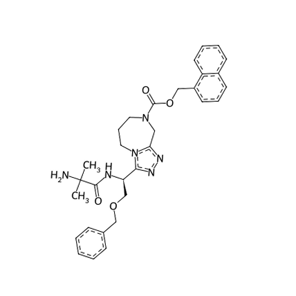 CC(C)(N)C(=O)N[C@H](COCc1ccccc1)c1nnc2n1CCCN(C(=O)OCc1cccc3ccccc13)C2